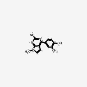 Cc1cc(-c2nc(C#N)nc3c2ccn3C)ccc1O